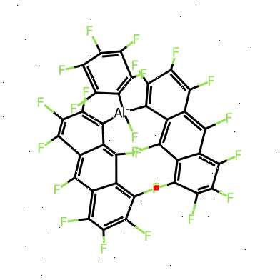 Fc1c(F)c(F)[c]([Al-]([F])([c]2c(F)c(F)c(F)c3c(F)c4c(F)c(F)c(F)c(F)c4c(F)c23)[c]2c(F)c(F)c(F)c3c(F)c4c(F)c(F)c(F)c(F)c4c(F)c23)c(F)c1F